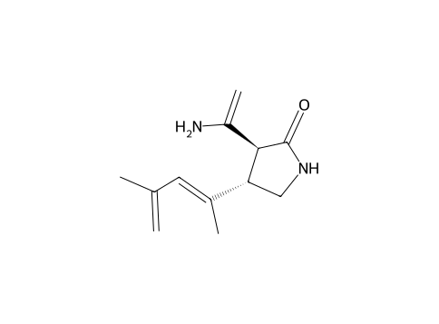 C=C(C)/C=C(\C)[C@H]1CNC(=O)[C@@H]1C(=C)N